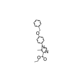 CCOC(=O)c1ncn(-c2ccc(OCc3ccccc3)cc2)c1C